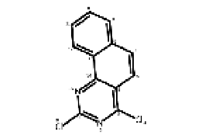 Clc1nc(Cl)c2ccc3ccccc3c2n1